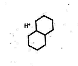 C1CCC2CCCCC2C1.[H+]